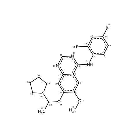 COc1cc2c(Nc3ccc(Br)cc3F)ncnc2cc1OC(C)N1CCCC1